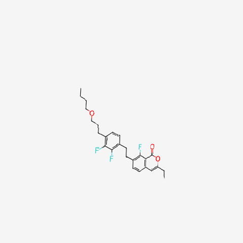 CCCCOCCCc1ccc(CCc2ccc3cc(CC)oc(=O)c3c2F)c(F)c1F